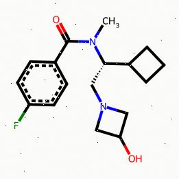 CN(C(=O)c1ccc(F)cc1)[C@@H](CN1CC(O)C1)C1CCC1